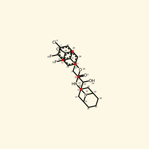 O=C(COc1ccc(Cl)c(F)c1)NC1CC2CCCC(C1)N2CC(O)COc1ccc(Cl)c(F)c1